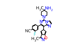 Cc1noc2c1=CC(c1c(-c3ccc(C#N)c(F)c3)nc(N3CCC(C)(N)CC3)n3ccnc13)C=2